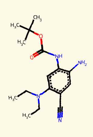 CCN(CC)c1cc(NC(=O)OC(C)(C)C)c(N)cc1C#N